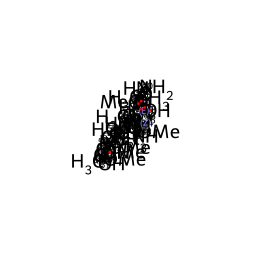 CCN[C@H]1CO[C@@H](O[C@H]2[C@H](O[C@H]3C#C/C=C\C#C[C@]4(O)CC(=O)C(NC(=O)OC)=C3/C4=C\CSSC(C)(C)CC(=O)NN)O[C@H](C)[C@@H](NO[C@H]3C[C@H](O)[C@H](SC(=O)c4c(C)c(I)c(O[C@@H]5O[C@@H](C)[C@H](O)[C@@H](OC)[C@H]5O)c(OC)c4OC)[C@@H](C)O3)[C@@H]2O)C[C@@H]1OC